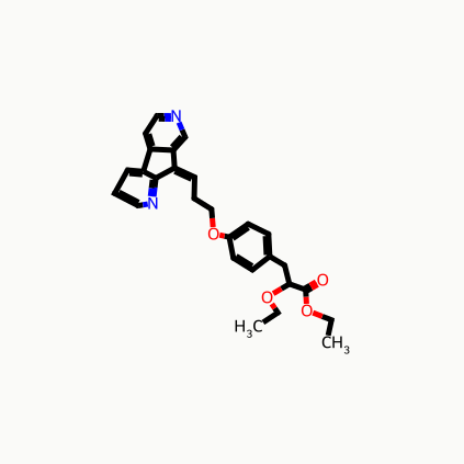 CCOC(=O)C(Cc1ccc(OCCC=C2c3cnccc3-c3cccnc32)cc1)OCC